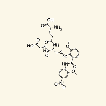 COc1cc([N+](=O)[O-])ccc1NC(=O)c1cccc(OC)c1[Se]SC[C@@H](NC(=O)CC[C@@H](N)C(=O)O)C(=O)NCC(=O)O